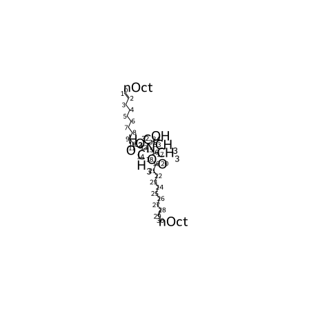 CCCCCCCCC=CCCCCCCCC(=O)OC(C)N(C(C)OC(=O)CCCCCCCC=CCCCCCCCC)C(C)(C)O